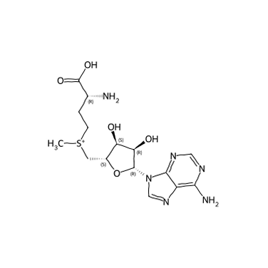 C[S+](CC[C@@H](N)C(=O)O)C[C@H]1O[C@@H](n2cnc3c(N)ncnc32)[C@H](O)[C@@H]1O